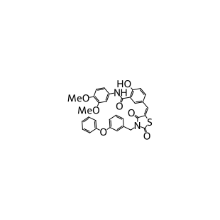 COc1ccc(NC(=O)c2cc(C=C3SC(=O)N(Cc4cccc(Oc5ccccc5)c4)C3=O)ccc2O)cc1OC